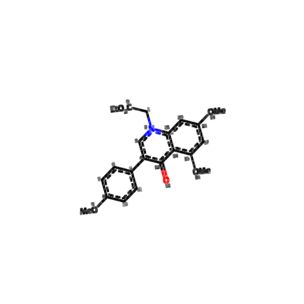 CCOC(=O)Cn1cc(-c2ccc(OC)cc2)c(=O)c2c(OC)cc(OC)cc21